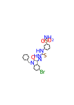 NS(=O)(=O)c1cccc(NC(=S)NN=C2C(=O)N(Cc3ccccc3)c3ccc(Br)cc32)c1